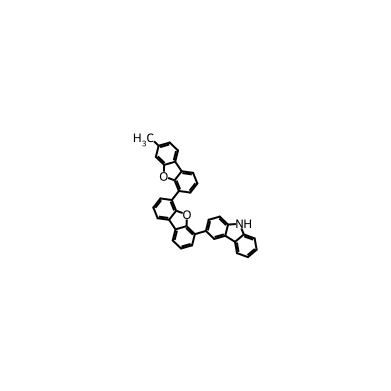 Cc1ccc2c(c1)oc1c(-c3cccc4c3oc3c(-c5ccc6[nH]c7ccccc7c6c5)cccc34)cccc12